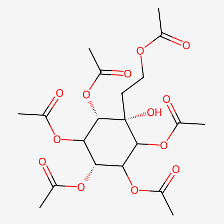 CC(=O)OCC[C@@]1(O)C(OC(C)=O)C(OC(C)=O)[C@H](OC(C)=O)C(OC(C)=O)[C@@H]1OC(C)=O